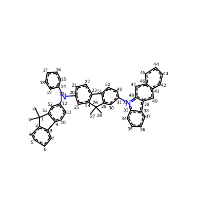 CC1(C)c2ccccc2-c2ccc(N(c3ccccc3)c3ccc4c(c3)C(C)(C)c3cc(-n5c6ccccc6c6cc7ccccc7cc65)ccc3-4)cc21